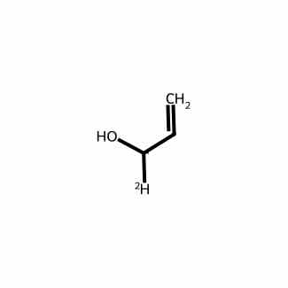 [2H][C](O)C=C